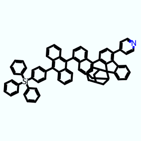 c1ccc([Si](c2ccccc2)(c2ccccc2)c2ccc(-c3c4ccccc4c(-c4cccc5c(-c6ccc(-c7ccncc7)c7c6C6(c8ccccc8-7)C7CC8CC(C7)CC6C8)cccc45)c4ccccc34)cc2)cc1